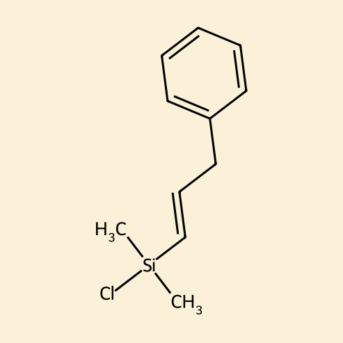 C[Si](C)(Cl)C=CCc1ccccc1